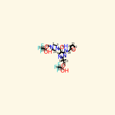 CN1CCN(C(=O)c2cnc(C(C)(C)C)nc2NCc2ccco2)CC1.O=C(O)C(F)(F)F.O=C(O)C(F)(F)F